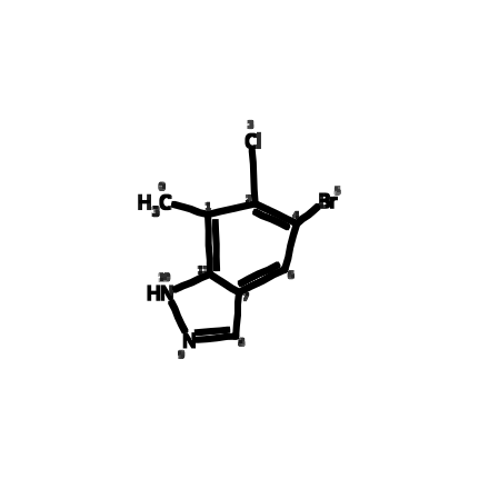 Cc1c(Cl)c(Br)cc2cn[nH]c12